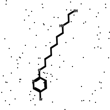 SCCNCCCCCCCOc1ccc(Br)cn1